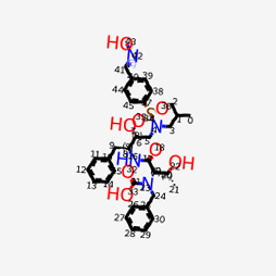 CC(C)CN(C[C@@H](O)[C@H](Cc1ccccc1)NC(=O)[C@H]([C@@H](C)O)N(Cc1ccccc1)C(=O)O)S(=O)(=O)c1ccc(/C=N/O)cc1